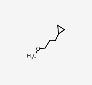 COCCC[C]1CC1